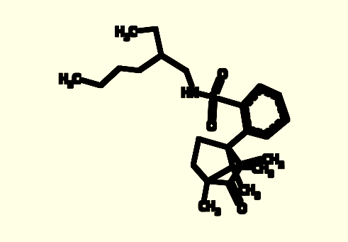 C=C1C(=O)C2(C)CCC1(c1ccccc1S(=O)(=O)NCC(CC)CCCC)C2(C)C